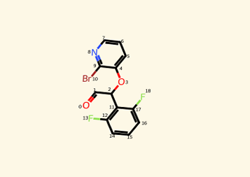 O=CC(Oc1cccnc1Br)c1c(F)cccc1F